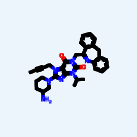 CC#CCn1c(N2CCCC(N)C2)nc2c1c(=O)n(CC1=Nc3ccccc3Cc3ccccc31)c(=O)n2C(C)C